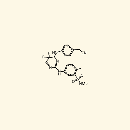 CNS(=O)(=O)c1cc(NC2=NC(Nc3ccc(CC#N)cc3)C(F)(F)C=N2)ccc1C